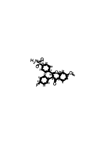 COc1ccc2c(=O)c(-c3ccc(F)cc3)c(-c3ccc(S(N)(=O)=O)cc3)oc2c1